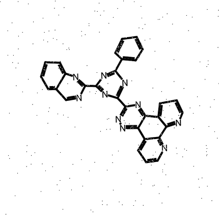 c1ccc(-c2nc(-c3ncc4ccccc4n3)nc(-c3nnc4c5cccnc5c5ncccc5c4n3)n2)cc1